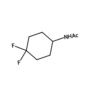 CC(=O)NC1CCC(F)(F)CC1